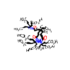 CCC(C)(C)C(CCC(=O)NC(CCC(=O)O)(CCC(=O)O)CCC(=O)O)(CCC(=O)NC(CCC(=O)O)(CCC(=O)O)CCC(=O)O)CCC(=O)NC(CCC(=O)O)(CCC(=O)O)CCC(=O)O